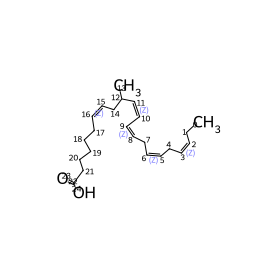 CC/C=C\C/C=C\C/C=C\C=C/C(C)C/C=C\CCCCCC(=O)O